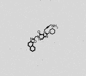 CC#CCn1c(N2CCC[C@@H](N)C2)nc2cnn(Cc3nc4ccc5ccccc5c4o3)c(=O)c21